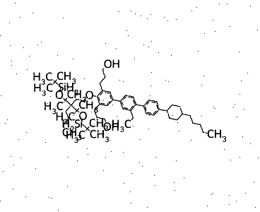 CCCCCC1CCC(c2ccc(-c3ccc(-c4cc(CCCO)c(OCCC(CCCC)(C(C)(C)O[SiH2]C(C)(C)C)C(C)(C)O[SiH2]C(C)(C)C)c(CCCO)c4)cc3CC)cc2)CC1